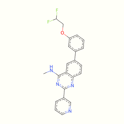 CNc1nc(-c2cccnc2)nc2ccc(-c3cccc(OCC(F)F)c3)cc12